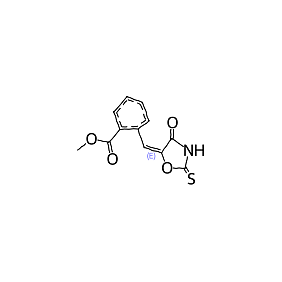 COC(=O)c1ccccc1/C=C1/OC(=S)NC1=O